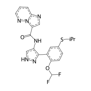 CC(C)Sc1ccc(OC(F)F)c(-c2n[nH]cc2NC(=O)c2cnc3cccnn23)c1